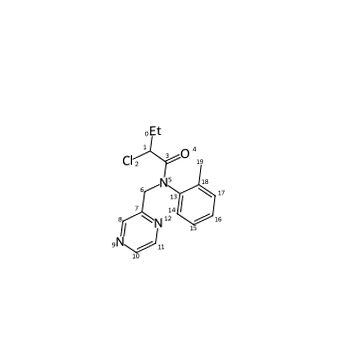 CCC(Cl)C(=O)N(Cc1cnccn1)c1ccccc1C